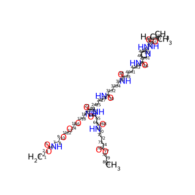 C=CCOC(=O)NCCCOCCOCCOCCCNC(=O)[C@H](CCCCNC(=O)CCCCCNC(=O)CCCCCNC(=O)c1ccc(NNC(=O)OC(C)(C)C)nc1)NC(=O)CCC(=O)NCCCCCC(=O)OCCCC